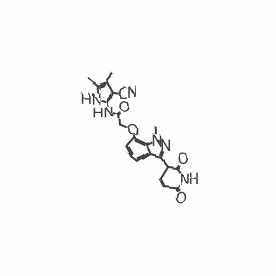 Cc1[nH]c(NC(=O)COc2cccc3c(C4CCC(=O)NC4=O)nn(C)c23)c(C#N)c1C